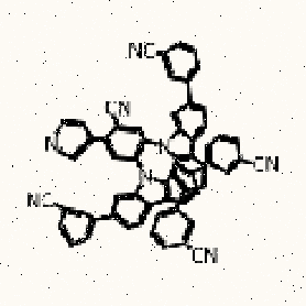 N#Cc1cccc(-c2ccc3c4ccc(-c5cccc(C#N)c5)cc4n(-c4cc(C#N)c(-c5ccncc5)cc4-n4c5cc(-c6cccc(C#N)c6)ccc5c5ccc(-c6cccc(C#N)c6)cc54)c3c2)c1